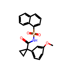 COc1cccc(C2(C(=O)NS(=O)(=O)c3cccc4ccccc34)CC2)c1